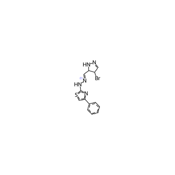 BrC1C=NNC1/C=N/Nc1nc(-c2ccccc2)cs1